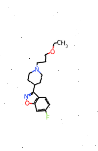 CCOCCCN1CCC(c2noc3cc(F)ccc23)CC1